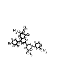 Cc1cc([C@@H]2CN(c3cc4c(=O)n(C)c(C)nc4c(-c4ccc(F)cc4F)n3)C[C@H](C)O2)ccn1